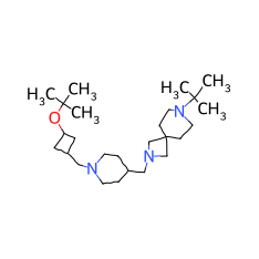 CC(C)(C)OC1CC(CN2CCC(CN3CC4(CCN(C(C)(C)C)CC4)C3)CC2)C1